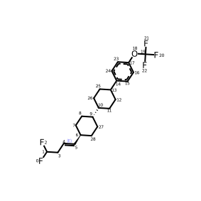 FC(F)C/C=C/[C@H]1CC[C@H](C2CCC(c3ccc(OC(F)(F)F)cc3)CC2)CC1